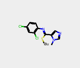 CCC(C)SC(=Nc1ccc(Cl)cc1Cl)c1cncn1C